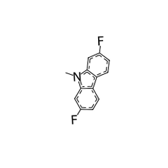 Cn1c2cc(F)ccc2c2ccc(F)cc21